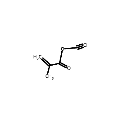 C#COC(=O)C(=C)C